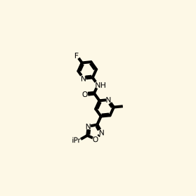 Cc1cc(-c2noc(C(C)C)n2)cc(C(=O)Nc2ccc(F)cn2)n1